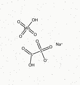 O=S(O)S(=O)(=O)[O-].[Na+].[O]=[Mn](=[O])(=[O])[OH]